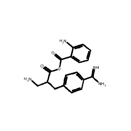 N=C(N)c1ccc(CC(CN)C(=O)OC(=O)c2ccccc2N)cc1